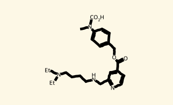 CCN(CC)CCCCNCc1cc(C(=O)OCc2ccc(N(C)C(=O)O)cc2)ccn1